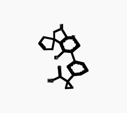 O=C(O)C1(c2cccc(-c3cnc4c(c3Cl)C3(CC=CC3)CN4)c2)CC1